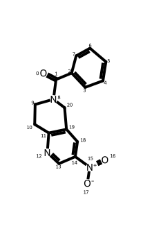 O=C(c1ccccc1)N1CCc2ncc([N+](=O)[O-])cc2C1